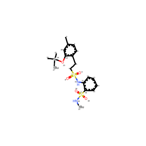 Cc1ccc(CCS(=O)(=O)Nc2ccccc2S(=O)(=O)NC(C)(C)C)c(O[Si](C)(C)C(C)(C)C)c1